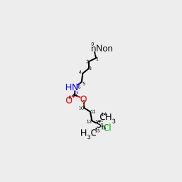 CCCCCCCCCCCCCCNC(=O)OCCC[Si](C)(C)Cl